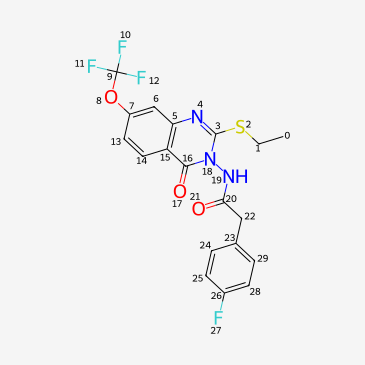 CCSc1nc2cc(OC(F)(F)F)ccc2c(=O)n1NC(=O)Cc1ccc(F)cc1